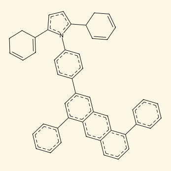 C1=CCCC(c2ccc(C3C=CC=CC3)n2-c2ccc(-c3cc(-c4ccccc4)c4cc5cccc(-c6ccccc6)c5cc4c3)cc2)=C1